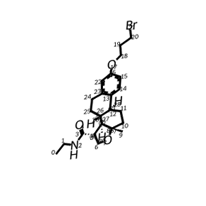 CCNC(=O)[C@H]1CO[C@@]2(C)CC[C@@H]3c4ccc(OCCCBr)cc4CC[C@H]3[C@H]12